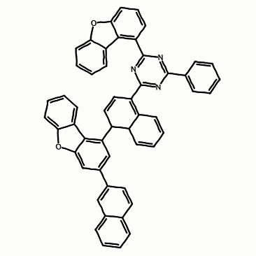 C1=CC2=C(c3nc(-c4ccccc4)nc(-c4cccc5oc6ccccc6c45)n3)C=CC(c3cc(-c4ccc5ccccc5c4)cc4oc5ccccc5c34)C2C=C1